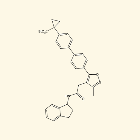 CCOC(=O)C1(c2ccc(-c3ccc(-c4onc(C)c4CC(=O)NC4CCc5ccccc54)cc3)cc2)CC1